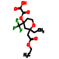 CCOC(=O)CC1(CC)CC(OC(=O)C(=O)O)(C(F)(F)F)CCO1